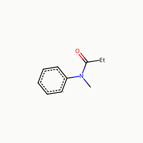 CCC(=O)N(C)c1[c]cccc1